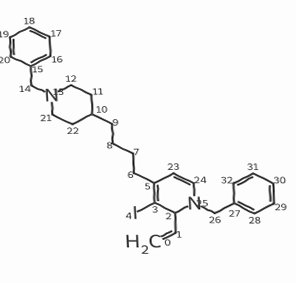 C=CC1C(I)=C(CCCCC2CCN(Cc3ccccc3)CC2)C=CN1Cc1ccccc1